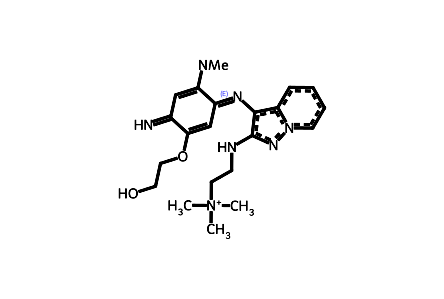 CNC1=CC(=N)C(OCCO)=C/C1=N\c1c(NCC[N+](C)(C)C)nn2ccccc12